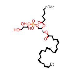 CC/C=C\C/C=C\C/C=C\C/C=C\C/C=C\C/C=C\CCC(=O)OC[C@H](COP(=O)(O)OC[C@@H](O)CO)OC(=O)CCCCCCCCCCCCCC